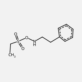 CCS(=O)(=O)ONCCc1ccccc1